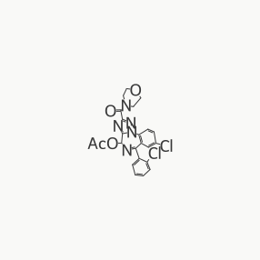 CC(=O)OC1N=C(c2ccccc2Cl)c2cc(Cl)ccc2-n2nc(C(=O)N3CCOCC3)nc21